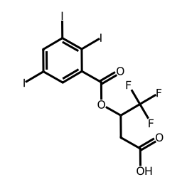 O=C(O)CC(OC(=O)c1cc(I)cc(I)c1I)C(F)(F)F